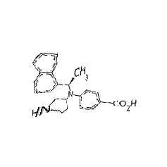 C[C@H](c1cccc2ccccc12)N(c1ccc(C(=O)O)cc1)C1CCNC1